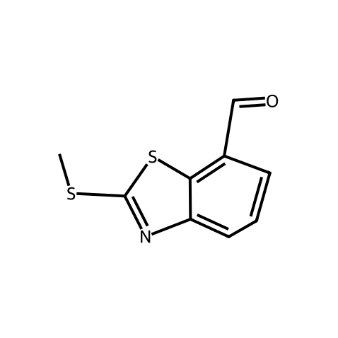 CSc1nc2cccc(C=O)c2s1